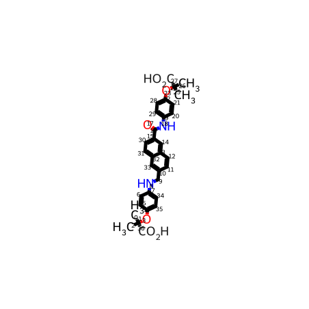 CC(C)(Oc1ccc(NCc2ccc3cc(C(=O)Nc4ccc(OC(C)(C)C(=O)O)cc4)ccc3c2)cc1)C(=O)O